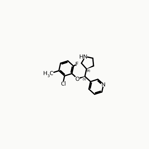 Cc1ccc(F)c(O[C@H](c2cccnc2)[C@@H]2CCNC2)c1Cl